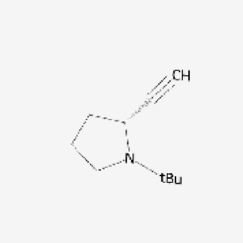 C#C[C@H]1CCCN1C(C)(C)C